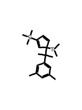 Cc1cc(C)cc(C(C)(C)[C]2([Ti]([CH3])[CH3])C=CC([Si](C)(C)C)=C2)c1